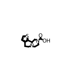 O=C(O)N1CCN2CCc3ccsc3C2C1